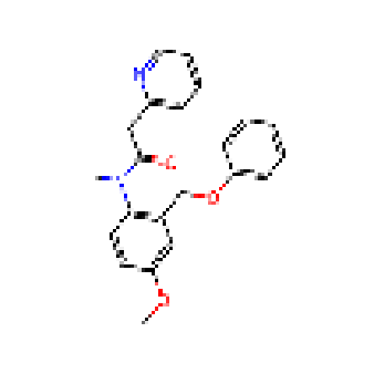 COc1ccc(N(C)C(=O)Cc2ccccn2)c(COc2ccccc2)c1